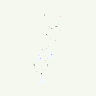 CNc1ccn2cc(-c3ccc4c(c3)OCCCO4)nc2c1